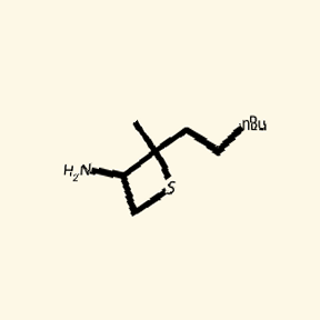 CCCCCCC1(C)SCC1N